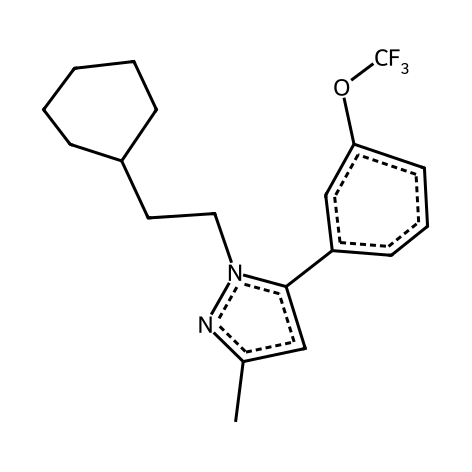 Cc1cc(-c2cccc(OC(F)(F)F)c2)n(CCC2CCCCC2)n1